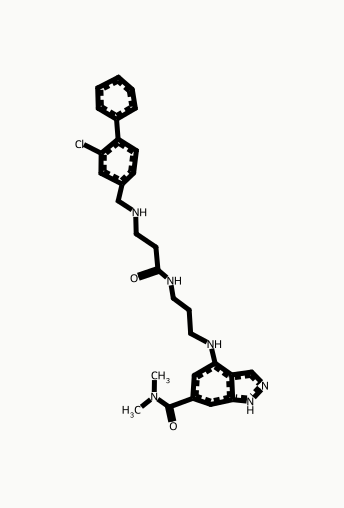 CN(C)C(=O)c1cc(NCCCNC(=O)CCNCc2ccc(-c3ccccc3)c(Cl)c2)c2cn[nH]c2c1